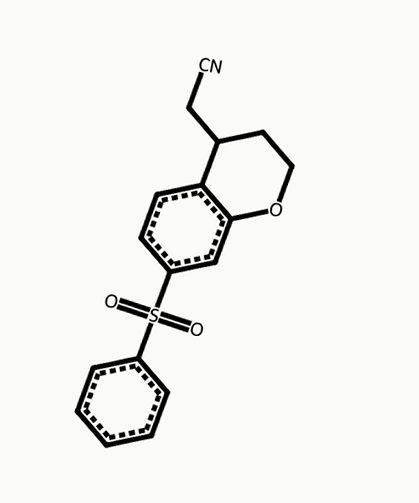 N#CCC1CCOc2cc(S(=O)(=O)c3ccccc3)ccc21